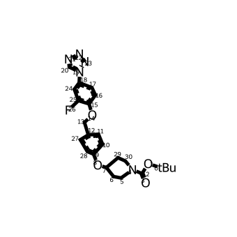 CC(C)(C)OC(=O)N1CCC(Oc2ccc(COc3ccc(-n4cnnn4)cc3F)cc2)CC1